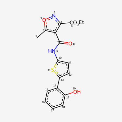 CCOC(=O)c1noc(C)c1C(=O)Nc1ccc(-c2ccccc2O)s1